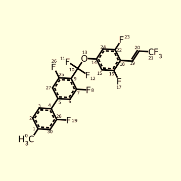 Cc1ccc(-c2cc(F)c(C(F)(F)Oc3cc(F)c(/C=C/C(F)(F)F)c(F)c3)c(F)c2)c(F)c1